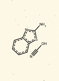 N#CO.Nc1nc2ccccc2s1